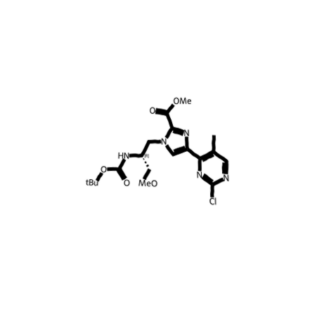 COC[C@@H](Cn1cc(-c2nc(Cl)ncc2C)nc1C(=O)OC)NC(=O)OC(C)(C)C